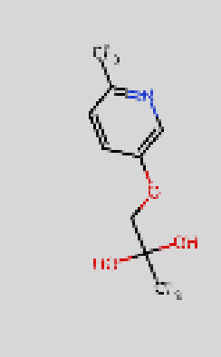 OC(O)(COc1ccc(C(F)(F)F)nc1)C(F)(F)F